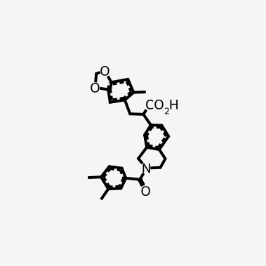 Cc1ccc(C(=O)N2CCc3ccc(C(Cc4cc5c(cc4C)OCO5)C(=O)O)cc3C2)cc1C